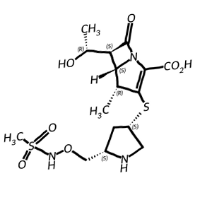 C[C@@H](O)[C@H]1C(=O)N2C(C(=O)O)=C(S[C@@H]3CN[C@H](CONS(C)(=O)=O)C3)[C@H](C)[C@H]12